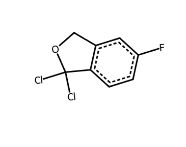 Fc1ccc2c(c1)COC2(Cl)Cl